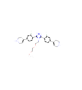 COCCOCCn1c(-c2ccc(C3=CCNCC3)cc2F)nnc1-c1ccc(C2=CCNCC2)cc1F